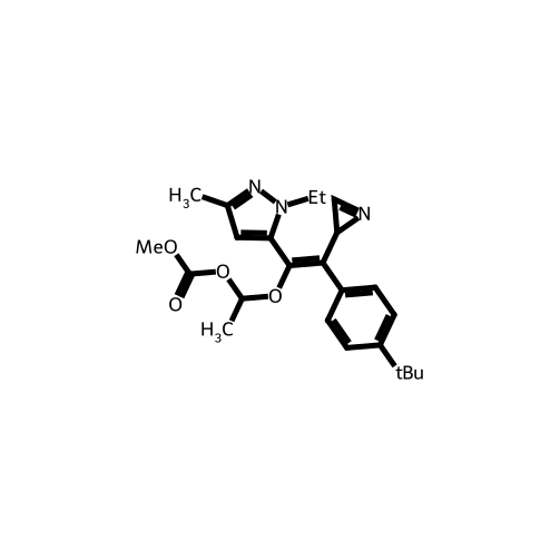 CCn1nc(C)cc1/C(OC(C)OC(=O)OC)=C(/c1ccc(C(C)(C)C)cc1)C1C=N1